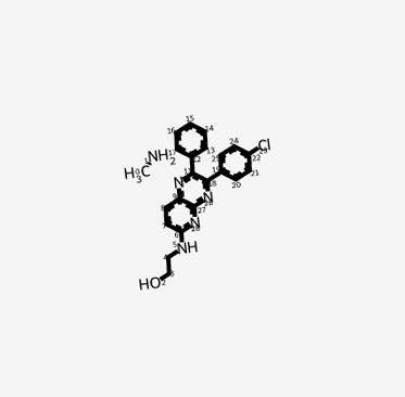 CN.OCCNc1ccc2nc(-c3ccccc3)c(-c3ccc(Cl)cc3)nc2n1